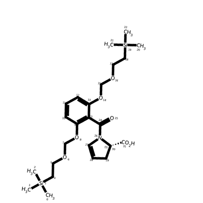 C[Si](C)(C)CCOCOc1cccc(OCOCC[Si](C)(C)C)c1C(=O)N1C=CC[C@H]1C(=O)O